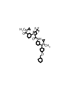 CN(C(=O)c1cccc(-n2nc(C(F)(F)F)cc2C(=O)Nc2cccc(C(c3ccc(OCc4ccccc4)cc3)N(C)C3CC3)c2)c1)C1CC1